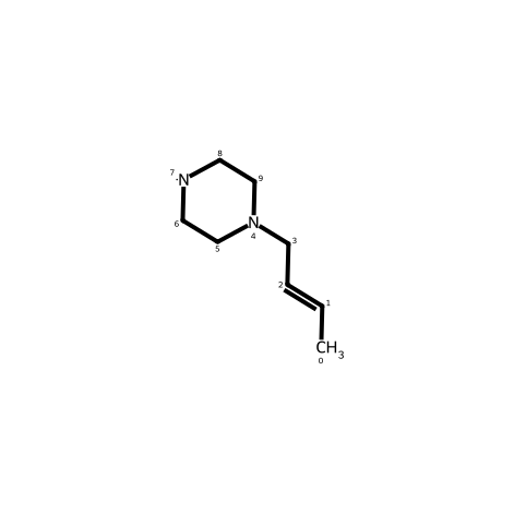 CC=CCN1CC[N]CC1